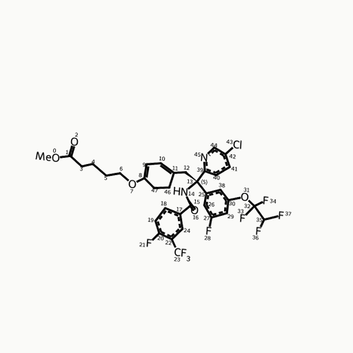 COC(=O)CCCCOC1=CC=C(C[C@](NC(=O)c2ccc(F)c(C(F)(F)F)c2)(c2cc(F)cc(OC(F)(F)C(F)F)c2)c2ccc(Cl)cn2)CC1